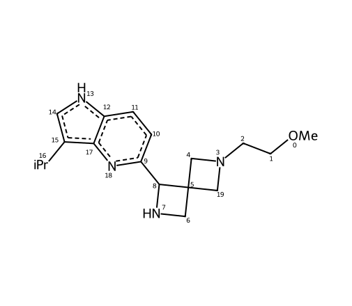 COCCN1CC2(CNC2c2ccc3[nH]cc(C(C)C)c3n2)C1